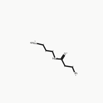 CCCCCCCCCNC(=O)CCC(C)C